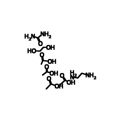 CC(=O)O.CC(=O)O.CC(=O)O.CC(=O)O.NC(N)=O.NCCN.OCCO